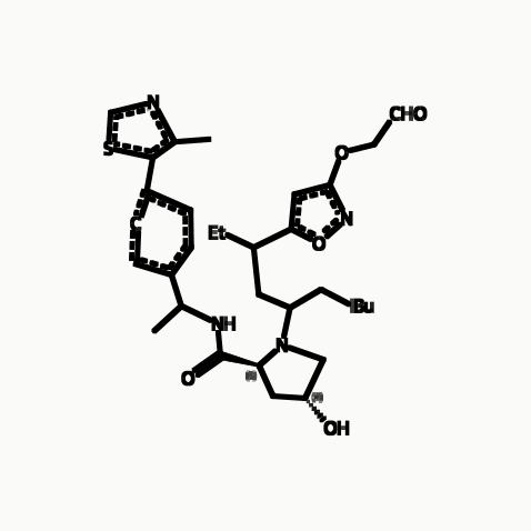 CCC(C)CC(CC(CC)c1cc(OCC=O)no1)N1C[C@H](O)C[C@H]1C(=O)NC(C)c1ccc(-c2scnc2C)cc1